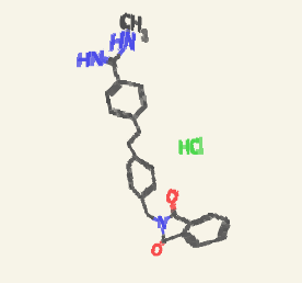 CNC(=N)c1ccc(CCc2ccc(CN3C(=O)c4ccccc4C3=O)cc2)cc1.Cl